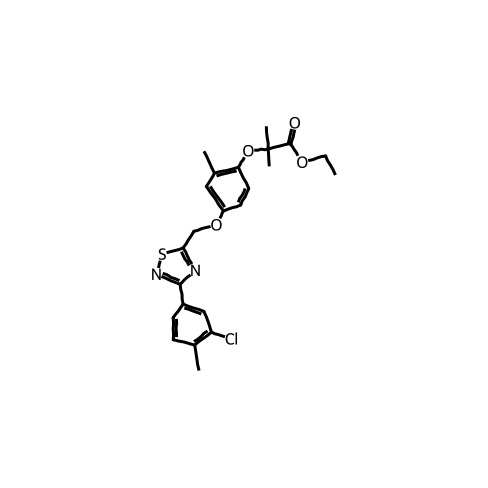 CCOC(=O)C(C)(C)Oc1ccc(OCc2nc(-c3ccc(C)c(Cl)c3)ns2)cc1C